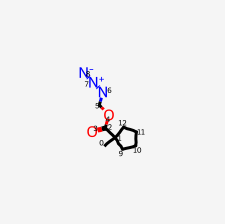 CC1(C(=O)OCN=[N+]=[N-])CCCC1